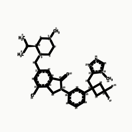 CC(C)[C@H]1CN(C)CCN1Cc1cc(Cl)c2c(c1)C(=O)N(c1cccc(C3(Cc4nncn4C)CC(F)(F)C3)c1)C2